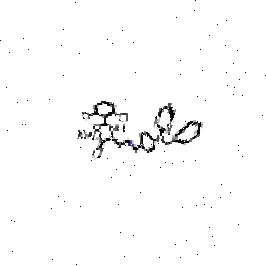 COC(=O)C(C/C=C/c1ccc(N(Cc2ccccc2)c2ncccn2)cc1)NC(=O)c1c(Cl)cccc1Cl